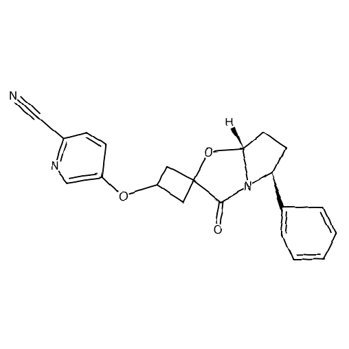 N#Cc1ccc(OC2CC3(C2)O[C@@H]2CC[C@@H](c4ccccc4)N2C3=O)cn1